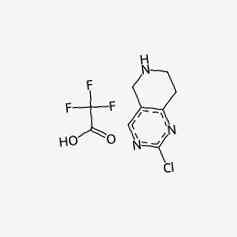 Clc1ncc2c(n1)CCNC2.O=C(O)C(F)(F)F